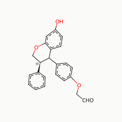 O=CCOc1ccc(C2c3ccc(O)cc3OC[C@@H]2c2ccccc2)cc1